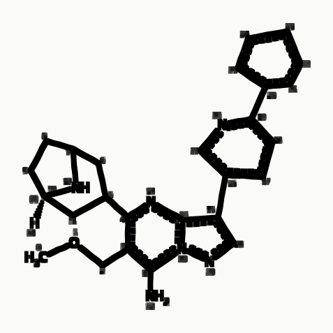 COCc1c(C2CC3CC[C@H](C2)N3)nc2c(-c3ccc(-c4ccccc4)nc3)cnn2c1N